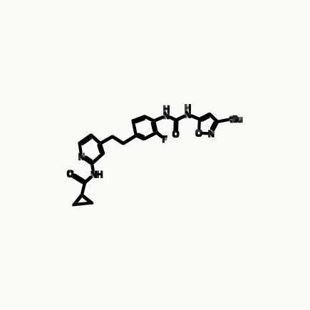 CC(C)(C)c1cc(NC(=O)Nc2ccc(CCc3ccnc(NC(=O)C4CC4)c3)cc2F)on1